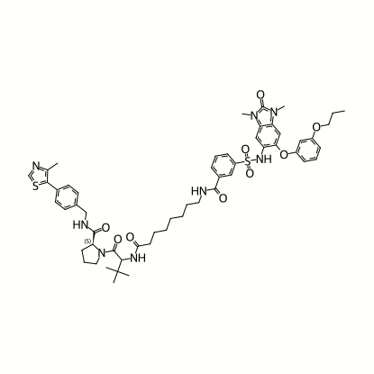 CCCOc1cccc(Oc2cc3c(cc2NS(=O)(=O)c2cccc(C(=O)NCCCCCCCC(=O)NC(C(=O)N4CCC[C@H]4C(=O)NCc4ccc(-c5scnc5C)cc4)C(C)(C)C)c2)n(C)c(=O)n3C)c1